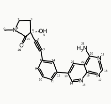 CN1CC[C@@](O)(C#Cc2cccc(-c3cnc4ncnc(N)c4c3)c2)C1=O